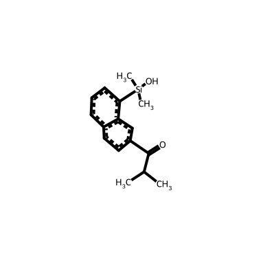 CC(C)C(=O)c1ccc2cccc([Si](C)(C)O)c2c1